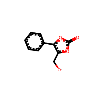 [O]Cc1oc(=O)oc1-c1ccccc1